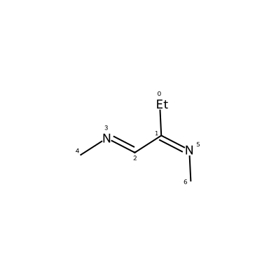 CCC(/C=N/C)=N/C